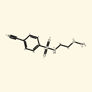 N#Cc1ccc(S(=O)(=O)NCCON)cc1